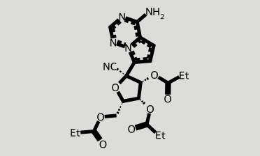 CCC(=O)OC[C@@H]1O[C@@](C#N)(c2ccc3c(N)ncnn23)[C@H](OC(=O)CC)[C@@H]1OC(=O)CC